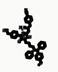 COc1ccc(C(c2ccccc2)N(CCCCC(NC(=O)CC(N)Cc2ccc(C#N)cc2)C(=O)Nc2ccc(CO)cc2)c2ccccc2)cc1